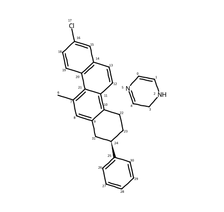 C1=CNCC=N1.Cc1cc2c(c3ccc4cc(Cl)ccc4c13)CC[C@@H](c1ccccc1)C2